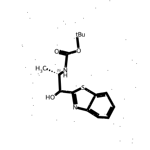 C[C@H](NC(=O)OC(C)(C)C)C(O)c1nc2ccccc2s1